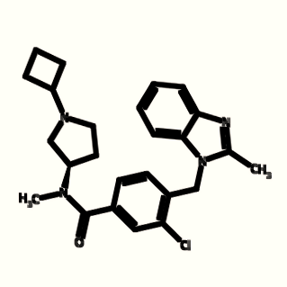 Cc1nc2ccccc2n1Cc1ccc(C(=O)N(C)[C@@H]2CCN(C3CCC3)C2)cc1Cl